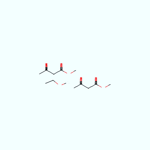 CC[O][AlH2].COC(=O)CC(C)=O.COC(=O)CC(C)=O